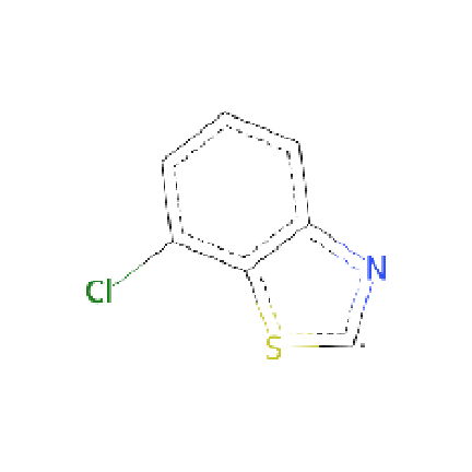 Clc1cccc2n[c]sc12